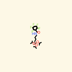 CC(C)O[Si](CCCCNC(=O)c1c(F)c(F)c(F)c(F)c1F)(OC(C)C)OC(C)C